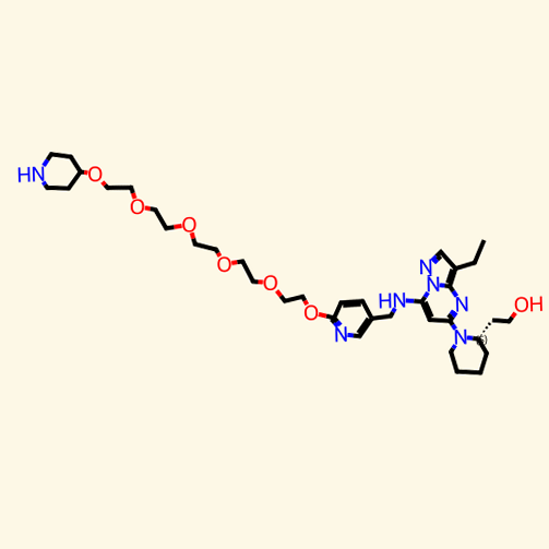 CCc1cnn2c(NCc3ccc(OCCOCCOCCOCCOCCOC4CCNCC4)nc3)cc(N3CCCC[C@H]3CCO)nc12